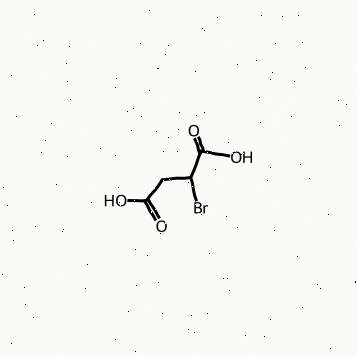 O=C(O)CC(Br)C(=O)O